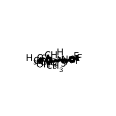 Cc1cc(SC(C)(C)C(=O)O)c(C)cc1OCCNc1nc(-c2ccc(C(F)(F)F)cc2)cs1